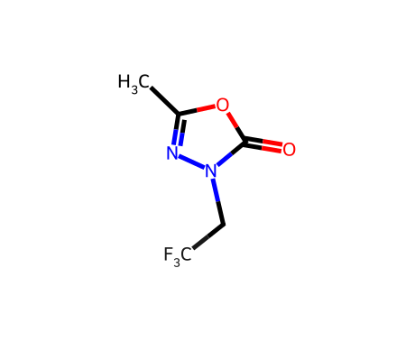 Cc1nn(CC(F)(F)F)c(=O)o1